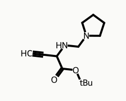 C#CC(NCN1CCCC1)C(=O)OC(C)(C)C